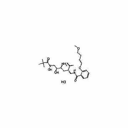 COCCCCOc1ccccc1C(=O)NC[C@@H](C[C@H](N)[C@@H](O)CN(O)C(=O)C(C)(C)C)C(C)C.Cl